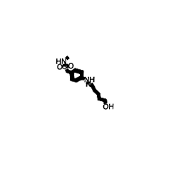 CNS(=O)(=O)Cc1ccc(NN=CCCCCO)cc1